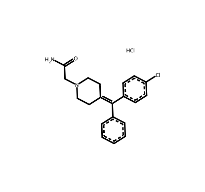 Cl.NC(=O)CN1CCC(=C(c2ccccc2)c2ccc(Cl)cc2)CC1